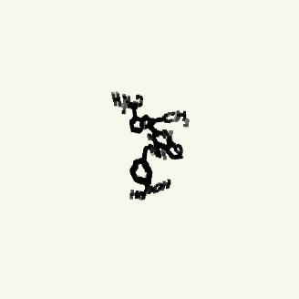 Cc1cc2c(C(N)=O)cccn2c1-c1nc(NCc2cccc(B(O)O)c2)c2c(n1)OCC2